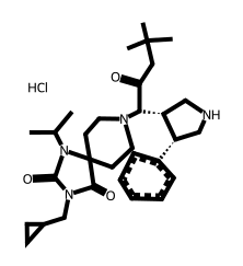 CC(C)N1C(=O)N(CC2CC2)C(=O)C12CCN(C(C(=O)CC(C)(C)C)[C@@H]1CNC[C@@H]1c1ccccc1)CC2.Cl